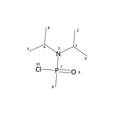 CC(C)N(C(C)C)P(C)(=O)Cl